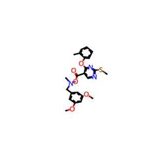 COc1cc(CN(C)OC(=O)c2cnc(SC)nc2Oc2ccccc2C)cc(OC)c1